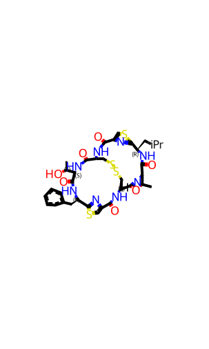 CC(C)C[C@H]1NC(=O)C2N=C(OC2C)[C@@H]2CSSCC(NC(=O)c3csc1n3)C(=O)N[C@@H]([C@H](C)O)C(=O)N[C@H](Cc1ccccc1)c1nc(cs1)C(=O)N2